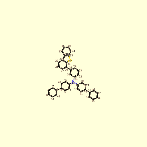 c1ccc(-c2ccc(N(c3ccc(-c4ccccc4)cc3)c3cccc(-c4cccc5c4sc4ccccc45)c3)cc2)cc1